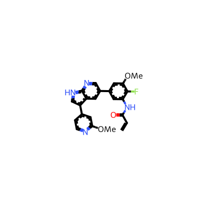 C=CC(=O)Nc1cc(-c2cnc3[nH]cc(-c4ccnc(OC)c4)c3c2)cc(OC)c1F